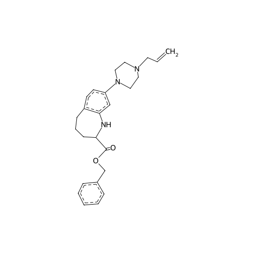 C=CCN1CCN(c2ccc3c(c2)NC(C(=O)OCc2ccccc2)CCC3)CC1